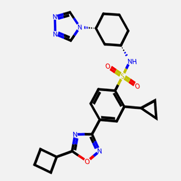 O=S(=O)(N[C@H]1CCC[C@@H](n2cnnc2)C1)c1ccc(-c2noc(C3CCC3)n2)cc1C1CC1